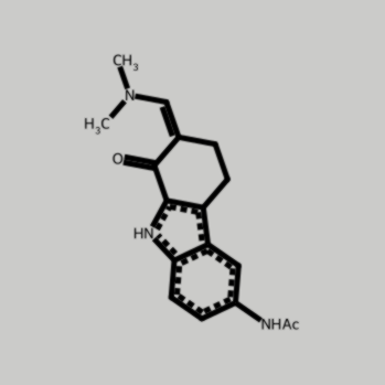 CC(=O)Nc1ccc2[nH]c3c(c2c1)CC/C(=C/N(C)C)C3=O